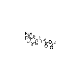 CC(=O)OC(=O)CC=Cc1cccc(C(F)(F)F)c1